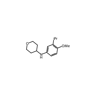 COc1ccc(NC2CCOCC2)cc1C(C)C